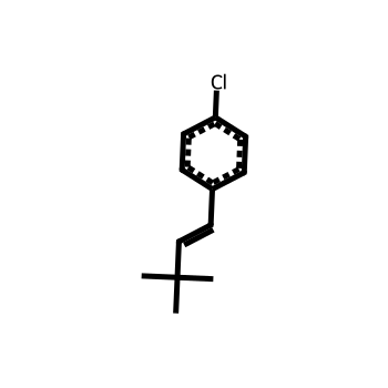 CC(C)(C)/C=C/c1ccc(Cl)cc1